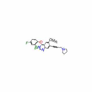 COc1cc2c(Oc3ccc(F)cc3Br)ncnc2cc1C#CCN1CCCC1